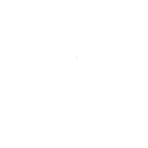 CC(C)(c1ccccc1)C(Oc1ccccc1)(C(=O)O)C(C)(C)c1ccccc1